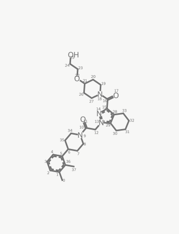 Cc1cccc(C2CCN(C(=O)Cn3nc(C(=O)N4CCC(OCCO)CC4)c4c3CCCC4)CC2)c1C